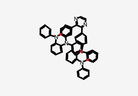 c1ccc(N(c2ccccc2)c2ccccc2N(c2ccccc2)c2ccc(-c3nccnc3-c3ccc(N(c4ccccc4)c4ccccc4N(c4ccccc4)c4ccccc4)cc3)cc2)cc1